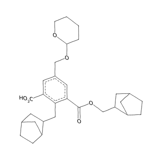 O=C(O)c1cc(COC2CCCCO2)cc(C(=O)OCC2CC3CCC2C3)c1CC1CC2CCC1C2